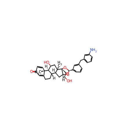 C[C@]12C=CC(=O)C=C1CC[C@@H]1[C@@H]2[C@@H](O)C[C@@]2(C)[C@H]1C[C@H]1O[C@H](c3cccc(Cc4cccc(N)c4)c3)O[C@]12C(=O)CO